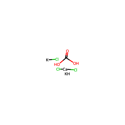 O=C(O)O.[Cl][Ca][Cl].[Cl][K].[KH]